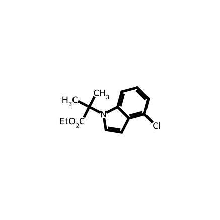 CCOC(=O)C(C)(C)n1ccc2c(Cl)cccc21